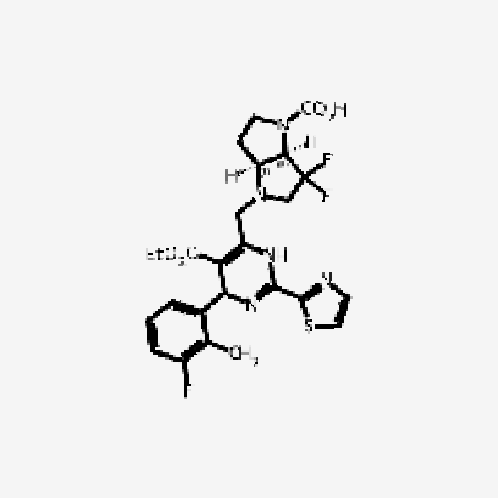 CCOC(=O)C1=C(CN2CC(F)(F)[C@H]3[C@@H]2CCN3C(=O)O)NC(c2nccs2)=NC1c1cccc(F)c1C